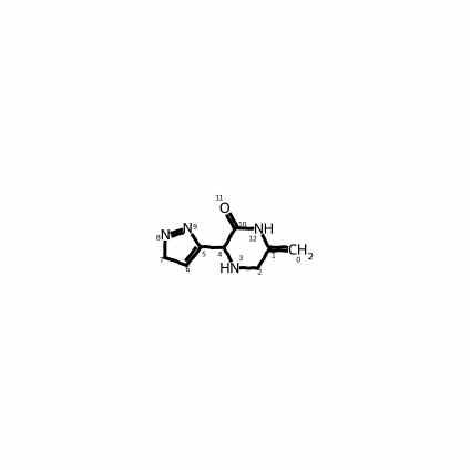 C=C1CNC(C2=CCN=N2)C(=O)N1